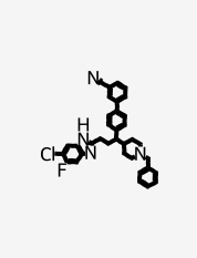 N#Cc1cccc(-c2ccc(C(CCc3nc4cc(F)c(Cl)cc4[nH]3)C3CCN(Cc4ccccc4)CC3)cc2)c1